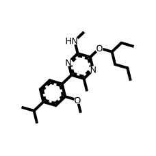 CCCC(CC)Oc1nc(C)c(-c2ccc(C(C)C)cc2OC)nc1NC